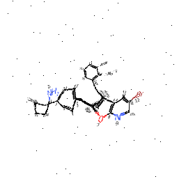 NC1(c2ccc(-c3oc4ncc(Br)cc4c3-c3ccccc3)cc2)CCC1